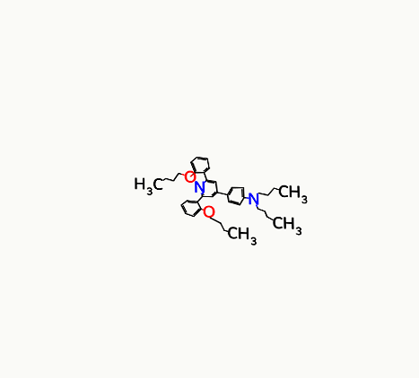 CCCCOc1ccccc1-c1cc(-c2ccc(N(CCCC)CCCC)cc2)cc(-c2ccccc2OCCCC)n1